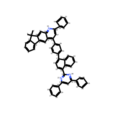 CC1(C)c2ccccc2-c2cc3c(-c4ccc(-c5ccc(-c6nc(-c7ccccc7)cc(-c7ccccc7)n6)c6ccccc56)cc4)cc(-c4ccccc4)nc3cc21